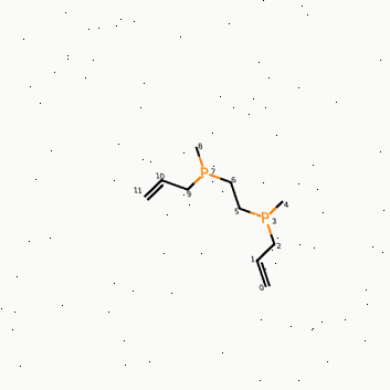 C=CCP(C)CCP(C)CC=C